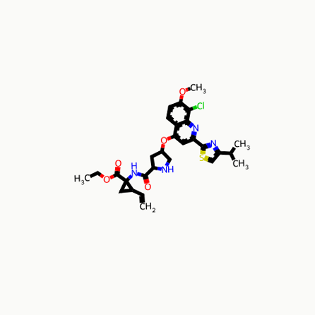 C=CC1CC1(NC(=O)C1CC(Oc2cc(-c3nc(C(C)C)cs3)nc3c(Cl)c(OC)ccc23)CN1)C(=O)OCC